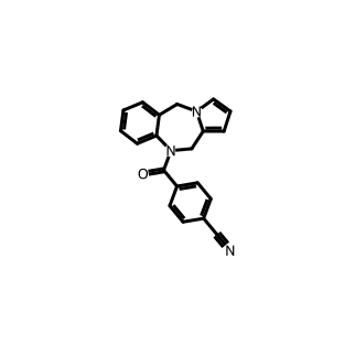 N#Cc1ccc(C(=O)N2Cc3cccn3Cc3ccccc32)cc1